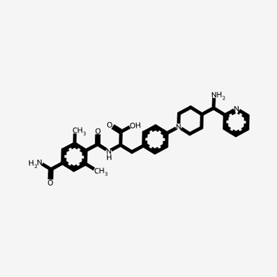 Cc1cc(C(N)=O)cc(C)c1C(=O)NC(Cc1ccc(N2CCC(C(N)c3ccccn3)CC2)cc1)C(=O)O